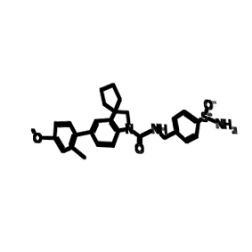 COc1ccc(-c2ccc3c(c2)C2(CCCC2)CN3C(=O)NCc2ccc([S+](N)[O-])cc2)c(C)c1